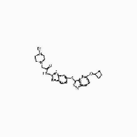 CCN1CCN(CC(=O)Nc2nc3ccc(Sc4nnc5ccc(OC6CCC6)nn45)cc3s2)CC1